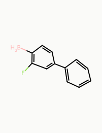 Bc1ccc(-c2ccccc2)cc1F